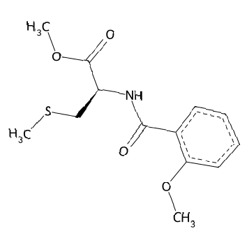 COC(=O)[C@H](CSC)NC(=O)c1ccccc1OC